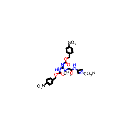 CN(CC(=O)NC1CN(C(=O)O)C1)/C(=N\C(=O)OCc1ccc([N+](=O)[O-])cc1)NC(=O)OCc1ccc([N+](=O)[O-])cc1